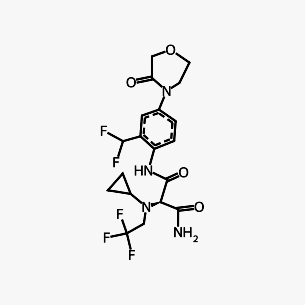 NC(=O)[C@H](C(=O)Nc1ccc(N2CCOCC2=O)cc1C(F)F)N(CC(F)(F)F)C1CC1